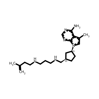 C=C(C)CCNCCCNC[C@@H]1CC[C@H](n2cc(C)c3c(N)ncnc32)C1